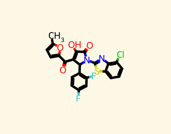 Cc1ccc(C(=O)C2=C(O)C(=O)N(c3nc4c(Cl)cccc4s3)C2c2ccc(F)cc2F)o1